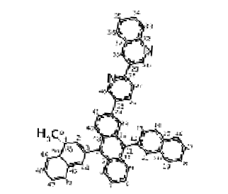 C[C@@H]1C=C(c2c3ccccc3c(-c3ccc4ccccc4c3)c3cc(-c4ccc(-c5cnc6ccccc6c5)nc4)ccc23)C=C2C=CC=CC21